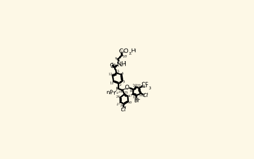 CCC[C@H](c1ccc(C(=O)NCCC(=O)O)cc1)[C@@H](Oc1cc(Br)c(Cl)c(C(F)(F)F)c1)c1ccc(Cl)cc1